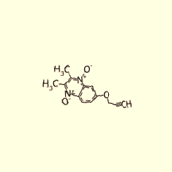 C#CCOc1ccc2c(c1)[n+]([O-])c(C)c(C)[n+]2[O-]